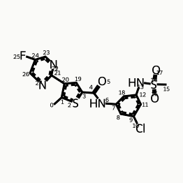 Cc1sc(C(=O)Nc2cc(Cl)cc(NS(C)(=O)=O)c2)cc1-c1ncc(F)cn1